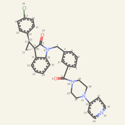 O=C(c1cccc(CN2C(=O)[C@@]3(C[C@H]3c3ccc(Cl)cc3)c3ccccc32)c1)N1CCN(c2ccncc2)CC1